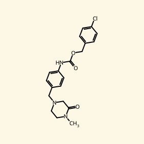 CN1CCN(Cc2ccc(NC(=O)OCc3ccc(Cl)cc3)cc2)CC1=O